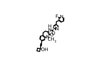 CN1C(=O)[C@H](NC(=O)n2cc(Cc3cccnc3F)cn2)CCc2ccc(C#CC3(O)CCC3)cc21